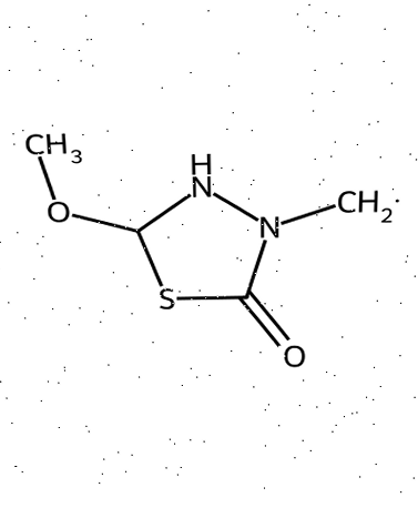 [CH2]N1NC(OC)SC1=O